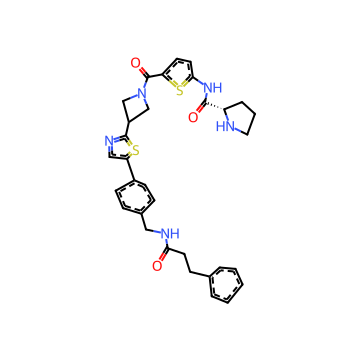 O=C(CCc1ccccc1)NCc1ccc(-c2cnc(C3CN(C(=O)c4ccc(NC(=O)[C@@H]5CCCN5)s4)C3)s2)cc1